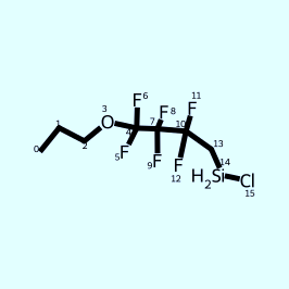 CCCOC(F)(F)C(F)(F)C(F)(F)C[SiH2]Cl